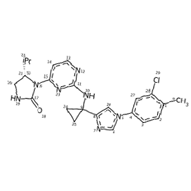 Cc1ccc(-n2cnc(C3(Nc4nccc(N5C(=O)NC[C@@H]5C(C)C)n4)CC3)c2)cc1Cl